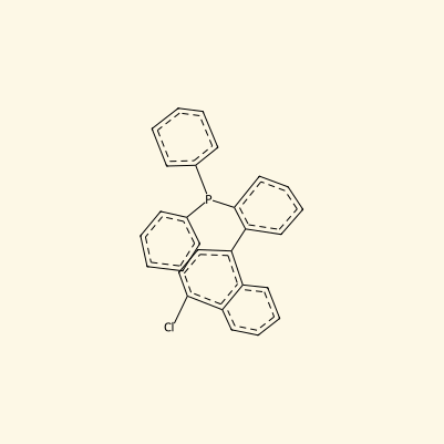 Clc1ccc(-c2ccccc2P(c2ccccc2)c2ccccc2)c2ccccc12